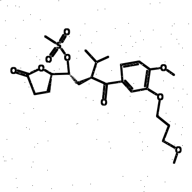 COCCCOc1cc(C(=O)[C@@H](C[C@@H](OS(C)(=O)=O)[C@H]2CCC(=O)O2)C(C)C)ccc1OC